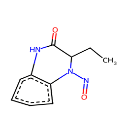 CCC1C(=O)Nc2ccccc2N1N=O